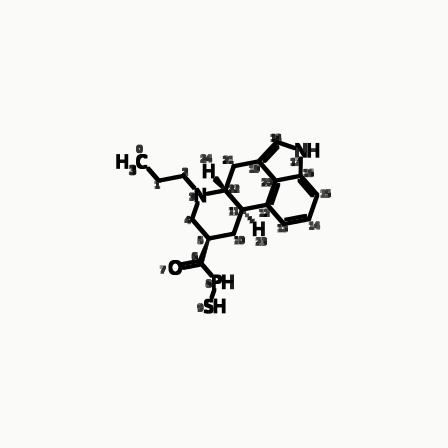 CCCN1C[C@H](C(=O)PS)C[C@@H]2c3cccc4[nH]cc(c34)C[C@H]21